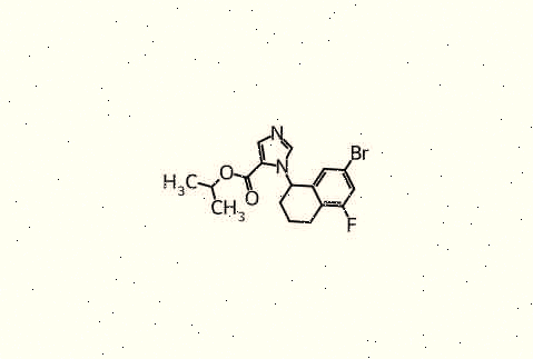 CC(C)OC(=O)c1cncn1C1CCCc2c(F)cc(Br)cc21